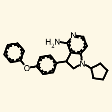 Nc1nccc2c1C(c1ccc(Oc3ccccc3)cc1)CN2C1CCCC1